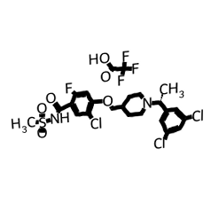 C[C@H](c1cc(Cl)cc(Cl)c1)N1CCC(COc2cc(F)c(C(=O)NS(C)(=O)=O)cc2Cl)CC1.O=C(O)C(F)(F)F